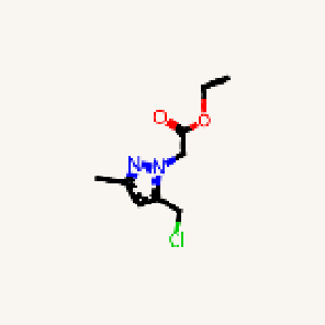 CCOC(=O)Cn1nc(C)cc1CCl